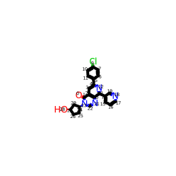 O=c1c2cc(-c3ccc(Cl)cc3)nc(-c3cccnc3)c2ncn1[C@H]1CC[C@@H](O)C1